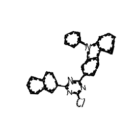 Clc1nc(-c2ccc3ccccc3c2)nc(-c2ccc3c4ccccc4n(-c4ccccc4)c3c2)n1